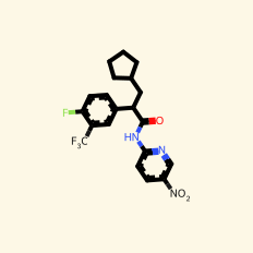 O=C(Nc1ccc([N+](=O)[O-])cn1)C(CC1CCCC1)c1ccc(F)c(C(F)(F)F)c1